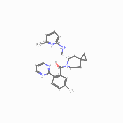 Cc1ccc(-c2ncccn2)c(C(=O)N2CCC3(CC3)C[C@H]2CNc2cccc(C(F)(F)F)n2)c1